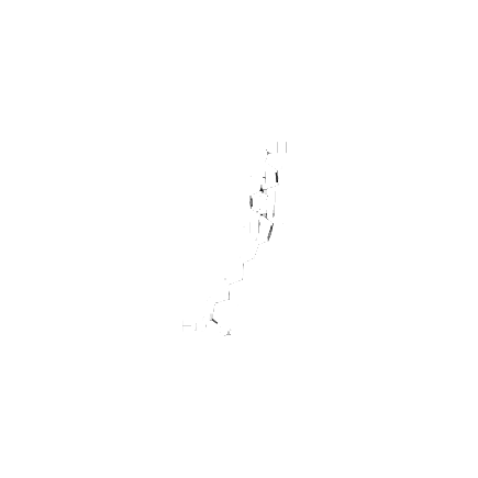 [2H]C([2H])(/C=C\CC)/C=C\C([2H])([2H])/C=C\CCCCCCCC(=O)O